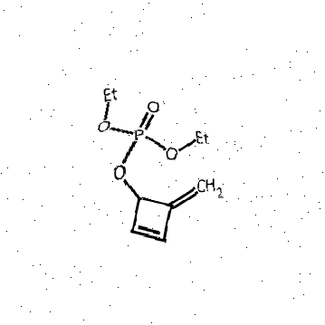 C=C1C=CC1OP(=O)(OCC)OCC